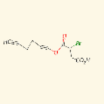 C#CCCC#COC(=O)C(Br)CC(=O)O